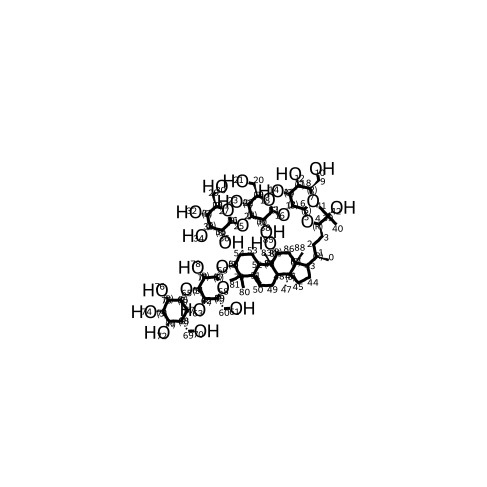 C[C@H](CC[C@@H](O[C@@H]1O[C@H](CO)[C@@H](O)[C@H](O)[C@H]1O[C@@H]1O[C@H](CO)[C@@H](O)[C@H](O[C@@H]2O[C@H](CO)[C@@H](O)[C@H](O)[C@H]2O)[C@H]1O)C(C)(C)O)C1CC[C@@]2(C)C3CC=C4C(CC[C@H](O[C@@H]5O[C@H](CO)[C@@H](O)[C@H](O[C@@H]6C[C@H](CO)[C@@H](O)[C@H](O)[C@H]6O)[C@H]5O)C4(C)C)[C@]3(C)[C@H](O)C[C@]12C